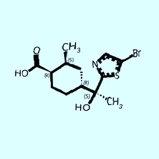 C[C@H]1C[C@H]([C@](C)(O)c2ncc(Br)s2)CC[C@H]1C(=O)O